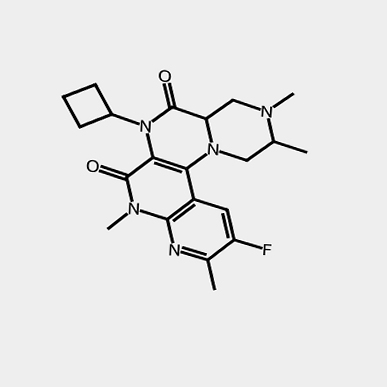 Cc1nc2c(cc1F)c1c(c(=O)n2C)N(C2CCC2)C(=O)C2CN(C)C(C)CN12